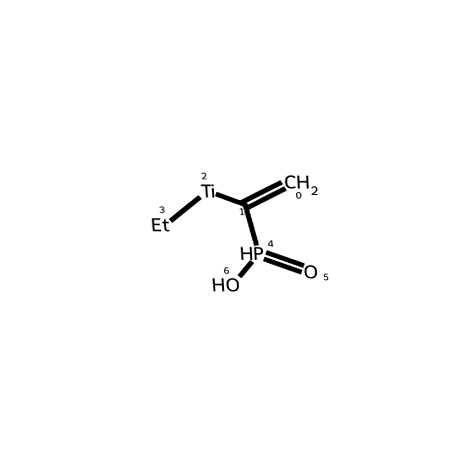 C=[C]([Ti][CH2]C)[PH](=O)O